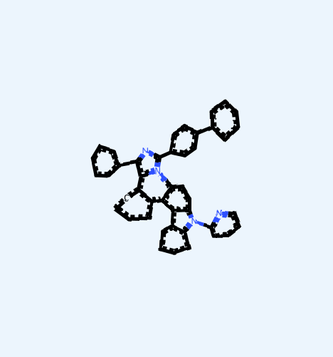 c1ccc(-c2ccc(-c3nc(-c4ccccc4)c4c5ccccc5c5c6c7ccccc7n(-c7ccccn7)c6ccc5n34)cc2)cc1